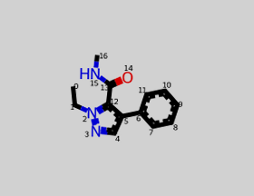 CCn1ncc(-c2ccccc2)c1C(=O)NC